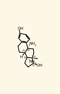 C[C@]12CC[C@]3(N)c4ccc(O)cc4CC[C@H]3[C@]1(N)CC[C@@H]2O